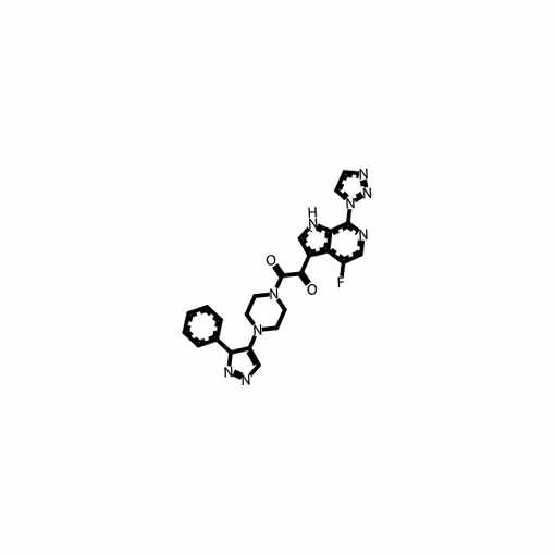 O=C(C(=O)N1CCN(C2=CN=NC2c2ccccc2)CC1)c1c[nH]c2c(-n3ccnn3)ncc(F)c12